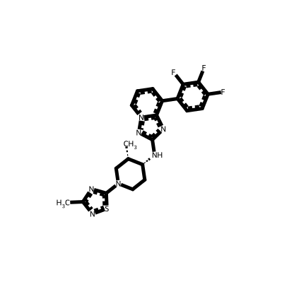 Cc1nsc(N2CC[C@@H](Nc3nc4c(-c5ccc(F)c(F)c5F)cccn4n3)[C@@H](C)C2)n1